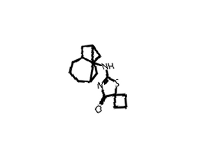 O=C1N=C(NC23CC4CCCC2CC4C3)SC12CCC2